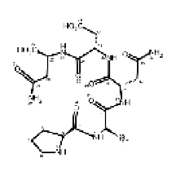 CC[C@H](C)[C@H](NC(=O)[C@@H]1CCCN1)C(=O)N[C@@H](CC(N)=O)C(=O)N[C@@H](CC(=O)O)C(=O)N[C@@H](CC(N)=O)C(=O)O